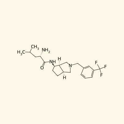 CC(C)C[C@H](N)C(=O)N[C@@H]1CC[C@@H]2CN(Cc3cccc(C(F)(F)F)c3)C[C@@H]21